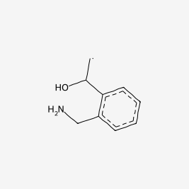 [CH2]C(O)c1ccccc1CN